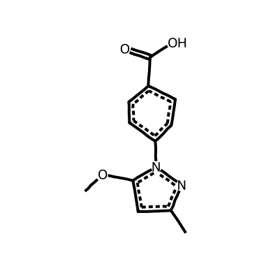 COc1cc(C)nn1-c1ccc(C(=O)O)cc1